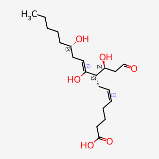 CCCCC[C@H](O)C/C=C(\O)[C@@H](C/C=C\CCCC(=O)O)[C@@H](O)CC=O